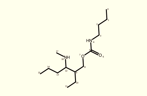 CCCCNC(=O)OCC(CC)C(CCC)NC